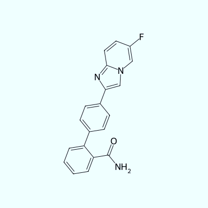 NC(=O)c1ccccc1-c1ccc(-c2cn3cc(F)ccc3n2)cc1